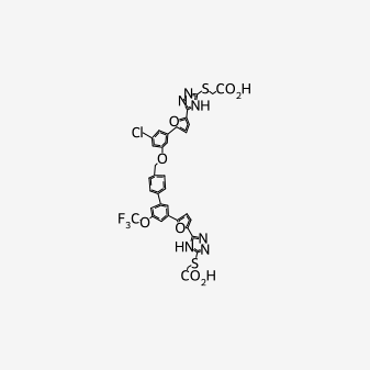 O=C(O)CSc1nnc(-c2ccc(-c3cc(Cl)cc(OCc4ccc(-c5cc(OC(F)(F)F)cc(-c6ccc(-c7nnc(SCC(=O)O)[nH]7)o6)c5)cc4)c3)o2)[nH]1